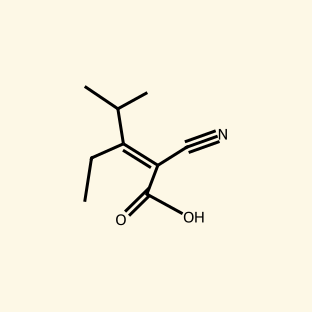 CCC(=C(C#N)C(=O)O)C(C)C